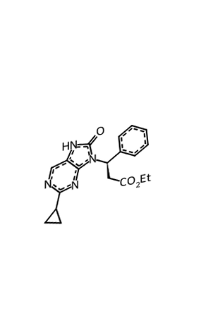 CCOC(=O)C[C@H](c1ccccc1)n1c(=O)[nH]c2cnc(C3CC3)nc21